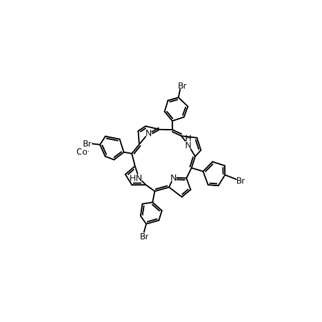 Brc1ccc(-c2c3nc(c(-c4ccc(Br)cc4)c4ccc([nH]4)c(-c4ccc(Br)cc4)c4nc(c(-c5ccc(Br)cc5)c5ccc2[nH]5)C=C4)C=C3)cc1.[Co]